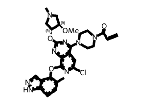 C=CC(=O)N1CCN(c2nc(O[C@@H]3CN(C)C[C@H]3OC)nc3c(Oc4c(C)ccc5[nH]ncc45)nc(Cl)cc23)CC1